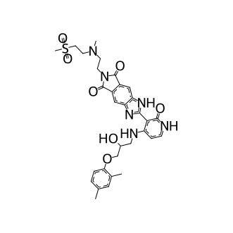 Cc1ccc(OCC(O)CNc2cc[nH]c(=O)c2-c2nc3cc4c(cc3[nH]2)C(=O)N(CCN(C)CCS(C)(=O)=O)C4=O)c(C)c1